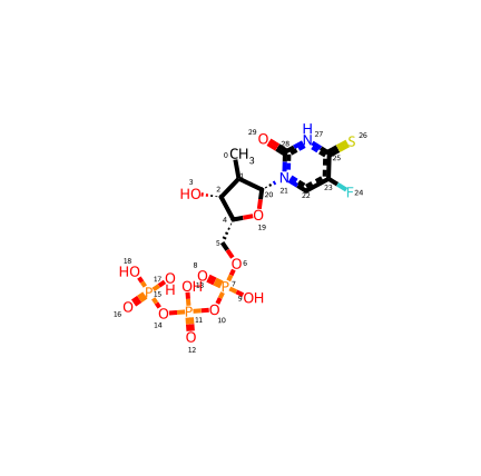 CC1[C@@H](O)[C@@H](COP(=O)(O)OP(=O)(O)OP(=O)(O)O)O[C@H]1n1cc(F)c(=S)[nH]c1=O